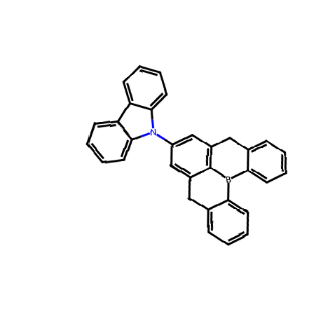 c1ccc2c(c1)Cc1cc(-n3c4ccccc4c4ccccc43)cc3c1B2c1ccccc1C3